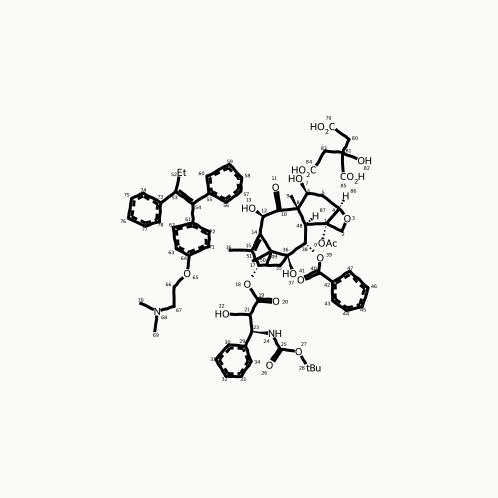 CC(=O)O[C@@]12CO[C@@H]1C[C@H](O)[C@@]1(C)C(=O)[C@H](O)C3=C(C)[C@@H](OC(=O)C(O)[C@@H](NC(=O)OC(C)(C)C)c4ccccc4)C[C@@](O)([C@@H](OC(=O)c4ccccc4)[C@H]21)C3(C)C.CC/C(=C(\c1ccccc1)c1ccc(OCCN(C)C)cc1)c1ccccc1.O=C(O)CC(O)(CC(=O)O)C(=O)O